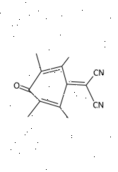 CC1=C(C)C(=C(C#N)C#N)C(C)=C(C)C1=O